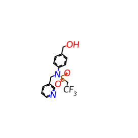 O=S(=O)(CC(F)(F)F)N(Cc1cccnc1)c1ccc(CO)cc1